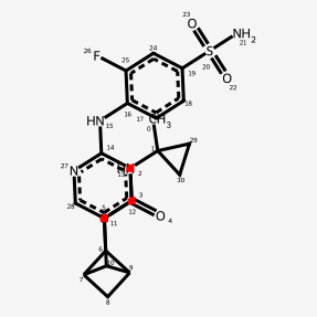 CC1(NC(=O)OC2C3CC2C3c2cnc(Nc3ccc(S(N)(=O)=O)cc3F)nc2)CC1